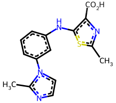 Cc1nc(C(=O)O)c(Nc2cccc(-n3ccnc3C)c2)s1